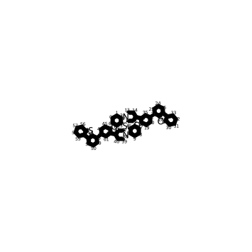 c1ccc([Si](c2ccccc2)(c2nccc3c2oc2ccc(-c4cccc5c4oc4ccccc45)cc23)c2nccc3c2oc2ccc(-c4cccc5c4sc4ccccc45)cc23)cc1